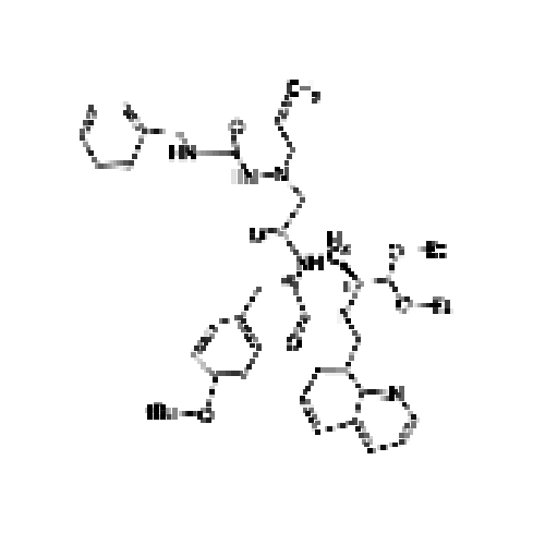 C=CCN(CC(=O)N[C@@H](Cc1ccc(OC(C)(C)C)cc1)C(=O)N(Cc1cccc2cccnc12)[C@@H](C)C(OCC)OCC)NC(=O)NCc1ccccc1